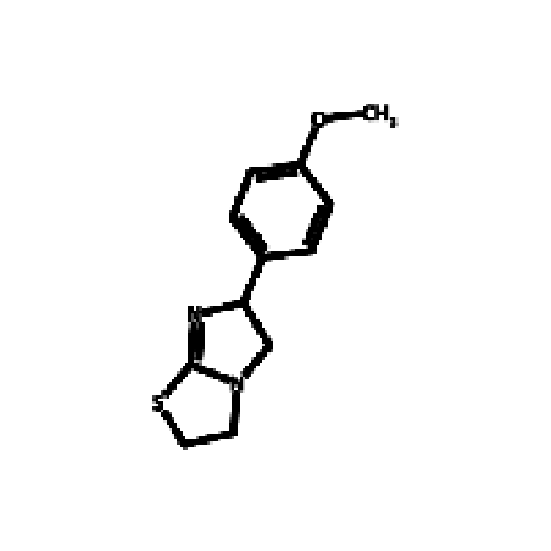 COc1ccc(C2CN3CCSC3=N2)cc1